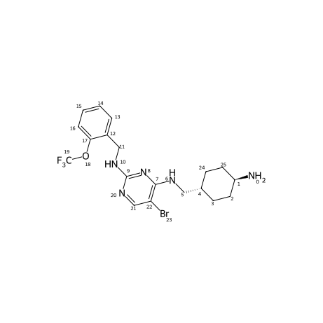 N[C@H]1CC[C@H](CNc2nc(NCc3ccccc3OC(F)(F)F)ncc2Br)CC1